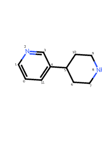 c1cncc(C2CCNCC2)c1